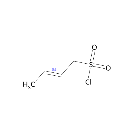 C/C=C/CS(=O)(=O)Cl